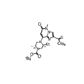 CC[C@H]1CN(C(=O)OC(C)(C)C)[C@H](C)CN1c1cc(=O)n(C)n2cc(C(=O)OC)nc12